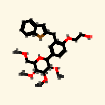 CCCCOCC1OC(c2ccc(OCCO)c(Cc3cc4ccccc4s3)c2)[C@H](OCCCC)[C@@H](OCCCC)[C@@H]1OCCCC